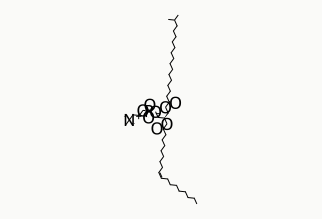 CCCCCCCC/C=C\CCCCCCCC(=O)O[C@H](COC(=O)CCCCCCCCCCCCCCC(C)C)COP(=O)([O-])OCC[N+](C)(C)C